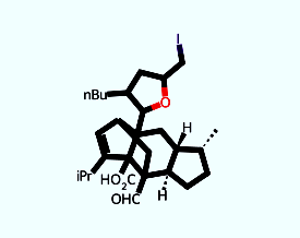 CCCCC1CC(CI)OC1C12C[C@@H]3[C@H](C)CC[C@H]3C3(C=O)CC1C=C(C(C)C)C23C(=O)O